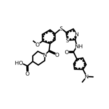 COc1ccc(Sc2cnc(NC(=O)c3ccc(N(C)C)cc3)s2)cc1C(=O)N1CCC(C(=O)O)CC1